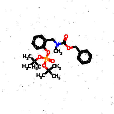 CN(Cc1ccccc1OP(=O)(OC(C)(C)C)OC(C)(C)C)C(=O)OCc1ccccc1